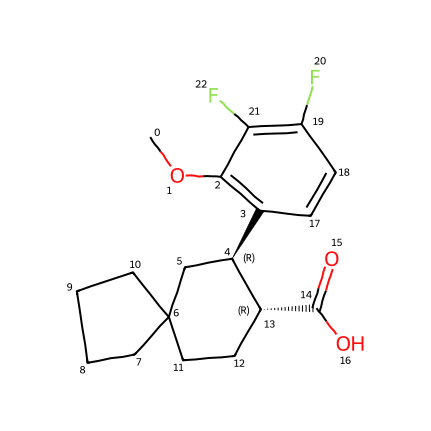 COc1c([C@@H]2CC3(CCCC3)CC[C@H]2C(=O)O)ccc(F)c1F